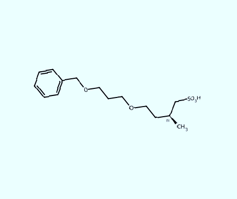 C[C@@H](CCOCCCOCc1ccccc1)CS(=O)(=O)O